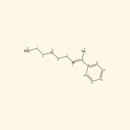 [2H]C(=NCCOCCO)c1ccccc1